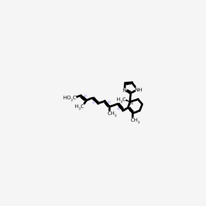 CC1=C(/C=C/C(C)=C/C=C/C(C)=C/C(=O)O)[C@](C)(c2ncc[nH]2)CCC1